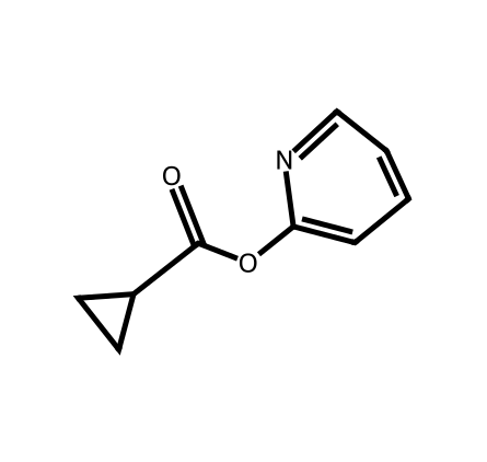 O=C(Oc1ccccn1)C1CC1